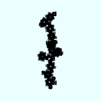 CC1(C)CCC(c2ccc(Cl)cc2)=C(CN2CCN(c3ccc(C(=O)NS(=O)(=O)c4ccc(N[C@H](CCN5CCN(Cc6cc(F)nc(N7CCC(=O)NC7=O)c6)CC5)CSc5ccccc5)c(S(=O)(=O)C(F)(F)F)c4)cc3)CC2)C1